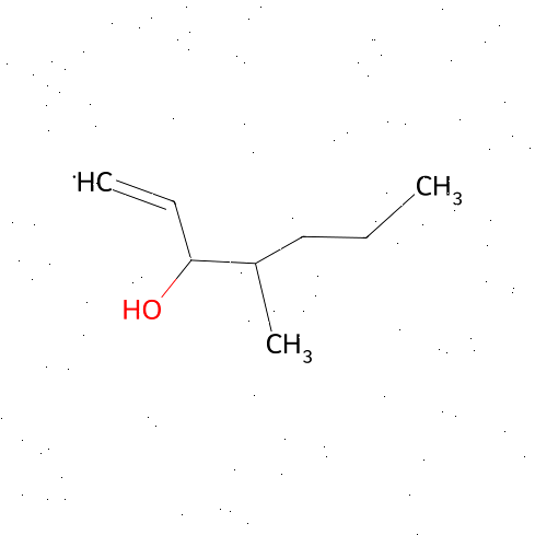 [CH]=CC(O)C(C)CCC